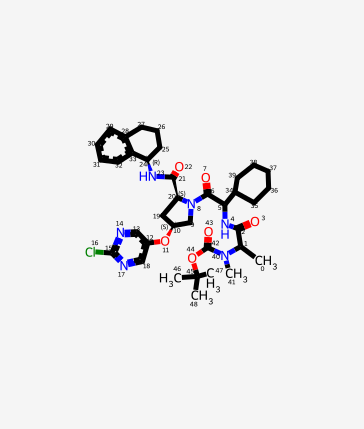 CC(C(=O)NC(C(=O)N1C[C@@H](Oc2cnc(Cl)nc2)C[C@H]1C(=O)N[C@@H]1CCCc2ccccc21)C1CCCCC1)N(C)C(=O)OC(C)(C)C